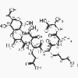 CC(=O)C(N[C@@H](C)C(=O)N[C@H](CCC(=O)O)C(=O)N[C@@H](CCCCN)C(=O)N[C@H](C)C(=O)N[C@H](C)C(=O)O)C(C)O[C@@H]1[C@@H](N)[C@@H](O)O[C@H](CO)[C@H]1O